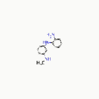 CNc1cccc(Nc2ccccc2N)c1